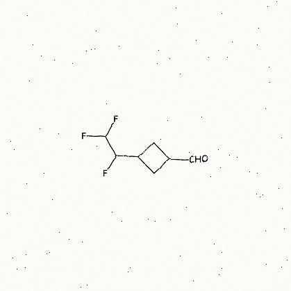 O=CC1CC(C(F)C(F)F)C1